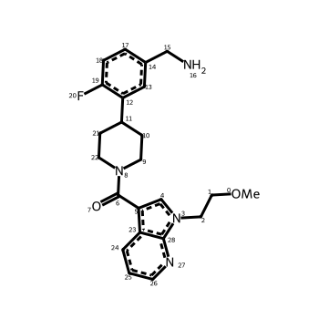 COCCn1cc(C(=O)N2CCC(c3cc(CN)ccc3F)CC2)c2cccnc21